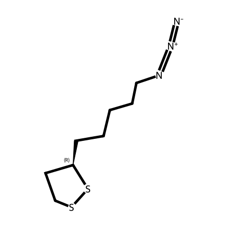 [N-]=[N+]=NCCCCC[C@@H]1CCSS1